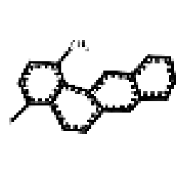 Cc1ccc(I)c2ccc3cc4ccccc4cc3c12